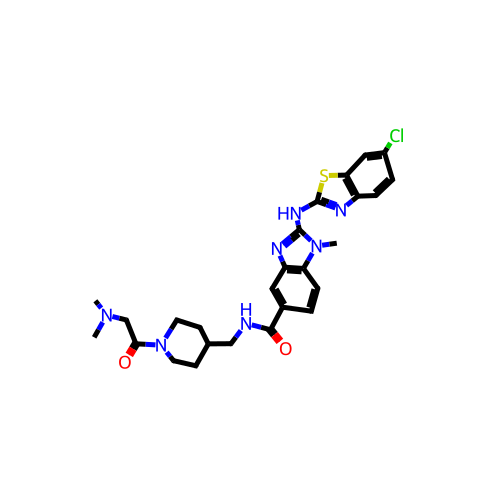 CN(C)CC(=O)N1CCC(CNC(=O)c2ccc3c(c2)nc(Nc2nc4ccc(Cl)cc4s2)n3C)CC1